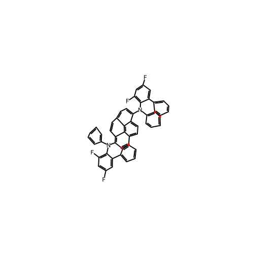 Fc1cc(F)c(N(c2ccccc2)c2ccc3ccc4c(N(c5ccccc5)c5c(F)cc(F)cc5-c5ccccc5)ccc5ccc2c3c54)c(-c2ccccc2)c1